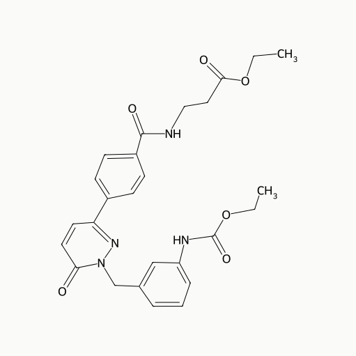 CCOC(=O)CCNC(=O)c1ccc(-c2ccc(=O)n(Cc3cccc(NC(=O)OCC)c3)n2)cc1